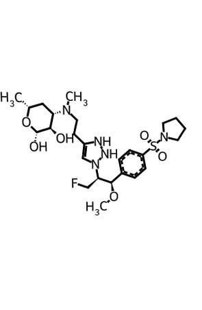 CO[C@H](c1ccc(S(=O)(=O)N2CCCC2)cc1)[C@@H](CF)N1C=C(CCN(C)[C@H]2C[C@@H](C)O[C@@H](O)[C@@H]2O)NN1